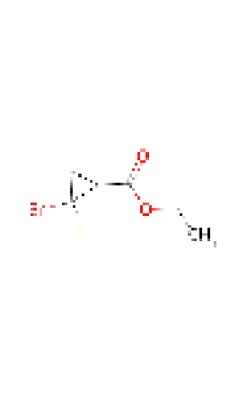 CCOC(=O)C1CC1(F)Br